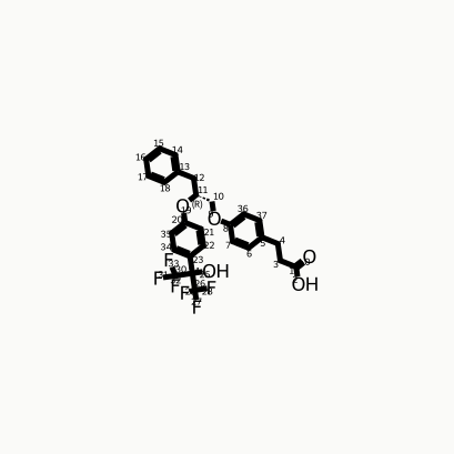 O=C(O)CCc1ccc(OC[C@@H](Cc2ccccc2)Oc2ccc(C(O)(C(F)(F)F)C(F)(F)F)cc2)cc1